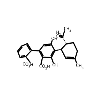 C=C(C)[C@@H]1CCC(C)=C[C@H]1c1c(O)cc(-c2ccccc2C(=O)O)c(C(=O)O)c1O